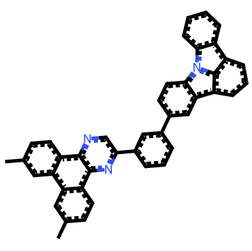 Cc1ccc2c(c1)c1cc(C)ccc1c1nc(-c3cccc(-c4ccc5c(c4)c4cccc6c7ccccc7n5c64)c3)cnc21